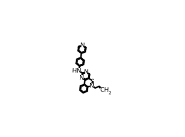 C=CCN1Sc2cnc(Nc3ccc(-c4ccncc4)cc3)nc2-c2ccccc21